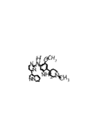 COc1cc(C2=CCN(C)CC2)c(N)cc1Nc1nccc(-c2cnn3ccccc23)n1